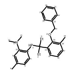 CCC(CC)(Pc1ccc(C)cc1N(C)C)c1cccc(C)c1OCc1ccccc1